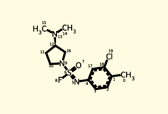 Cc1ccc(N=S(=O)(F)N2CC[C@@H](N(C)C)C2)cc1Cl